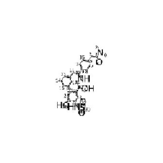 CN(C)C(=O)Cc1ccc(C(Cc2ccccc2)NC[C@H](O)c2ccc(O)c(NS(C)(=O)=O)c2)cc1